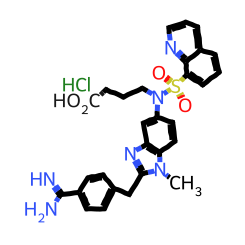 Cl.Cn1c(Cc2ccc(C(=N)N)cc2)nc2cc(N(CCCC(=O)O)S(=O)(=O)c3cccc4cccnc34)ccc21